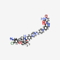 CC1(C)[C@H](NC(=O)c2ccc(N3CCN(CCC4CCN(c5ccc6nnn(C7CCC(=O)NC7=O)c(=O)c6c5)CC4)CC3)cc2)C(C)(C)[C@H]1Oc1ccc(C#N)c(Cl)c1